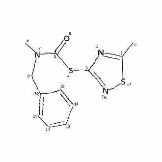 Cc1nc(SC(=O)N(C)Cc2ccccc2)ns1